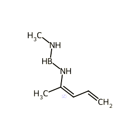 C=C/C=C(/C)NBNC